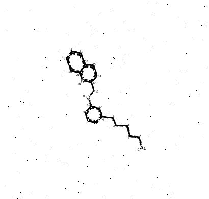 CC(=O)CCCCCc1cccc(OCc2ccc3ccccc3n2)c1